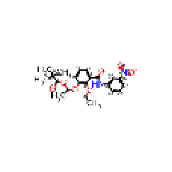 CCOc1c(OC(C)OC(=O)C(C)(C)C)cccc1C(=O)Nc1cccc([N+](=O)[O-])c1